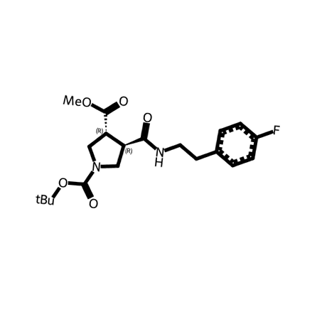 COC(=O)[C@H]1CN(C(=O)OC(C)(C)C)C[C@@H]1C(=O)NCCc1ccc(F)cc1